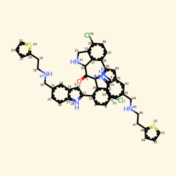 O=C(C1NCc2c(Cl)ccc(-c3cc4cc(CNCCc5cccs5)ccc4[nH]3)c21)C1NCc2c(Cl)ccc(-c3cc4cc(CNCCc5cccs5)ccc4[nH]3)c21